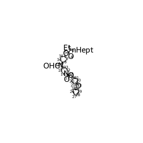 CCCCCCCC(CC)C(=O)OC1CCC(N(C=O)C2CCN(C(=O)Oc3ccc(Oc4ccccc4)cc3)CC2)CC1